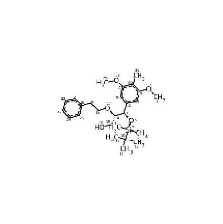 COc1cc([C@@H](O[Si](C)(C)C(C)(C)C)[C@H](CO)OCCc2ccccc2)cc(OC)c1C